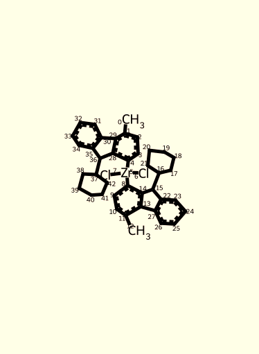 Cc1cc[c]([Zr]([Cl])([Cl])[c]2ccc(C)c3c2C(C2CCCCC2)c2ccccc2-3)c2c1-c1ccccc1C2C1CCCCC1